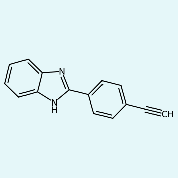 C#Cc1ccc(-c2nc3ccccc3[nH]2)cc1